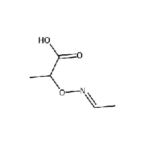 CC=NOC(C)C(=O)O